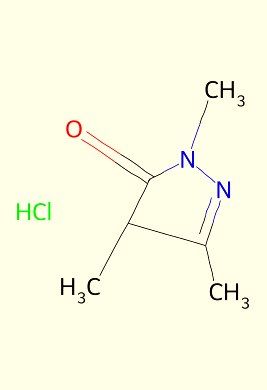 CC1=NN(C)C(=O)C1C.Cl